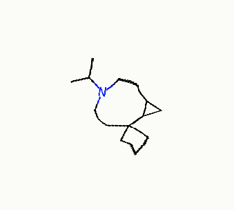 CC(C)N1CCC2CC2C2(CCC2)CC1